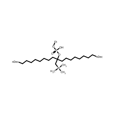 CCCCCCCCCCCCCCCCCCC(CCCCCCCCCCCCCCCCCC)(C[N+](C)(C)C)OP(=O)(O)OCC